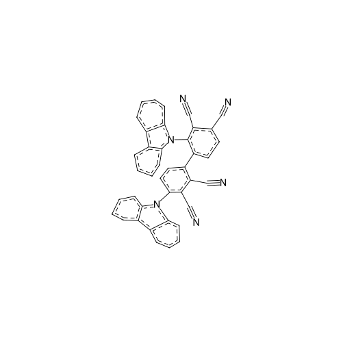 N#Cc1ccc(-c2ccc(-n3c4ccccc4c4ccccc43)c(C#N)c2C#N)c(-n2c3ccccc3c3ccccc32)c1C#N